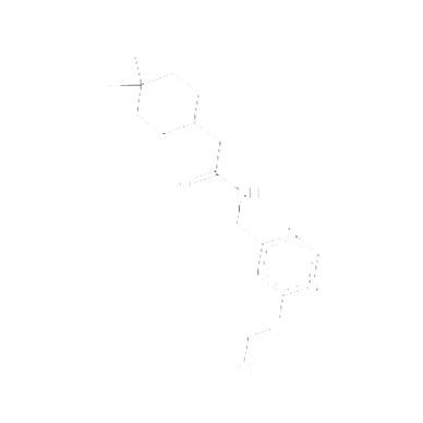 CC1(C)CCC(CC(=O)NCc2cc(OCC(F)(F)F)ncn2)CC1